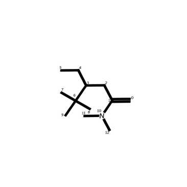 C=C(CC(CC)C(C)(C)C)N(C)C